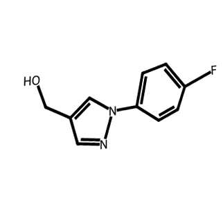 OCc1cnn(-c2ccc(F)cc2)c1